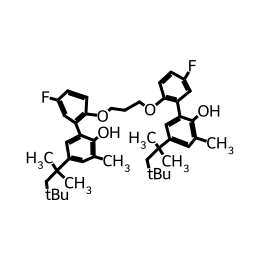 Cc1cc(C(C)(C)CC(C)(C)C)cc(-c2cc(F)ccc2OCCCOc2ccc(F)cc2-c2cc(C(C)(C)CC(C)(C)C)cc(C)c2O)c1O